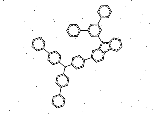 c1ccc(-c2ccc(N(c3ccc(-c4ccccc4)cc3)c3ccc(-c4ccc5c6ccccc6n(-c6cc(-c7ccccc7)cc(-c7ccccc7)c6)c5c4)cc3)cc2)cc1